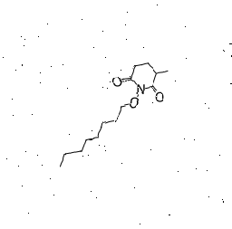 CCCCCCCCON1C(=O)CCC(C)C1=O